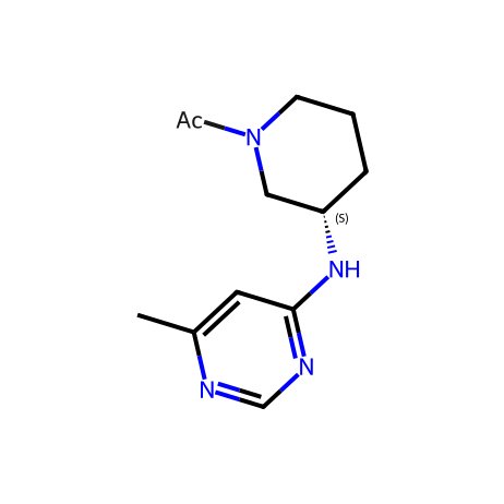 CC(=O)N1CCC[C@H](Nc2cc(C)ncn2)C1